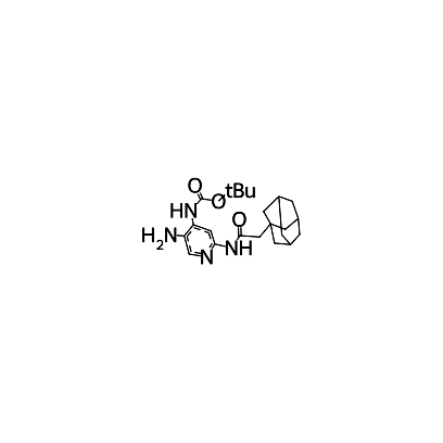 CC(C)(C)OC(=O)Nc1cc(NC(=O)CC23CC4CC(CC(C4)C2)C3)ncc1N